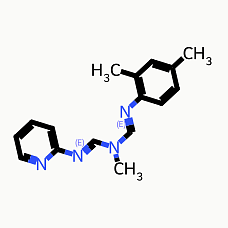 Cc1ccc(/N=C/N(C)/C=N/c2ccccn2)c(C)c1